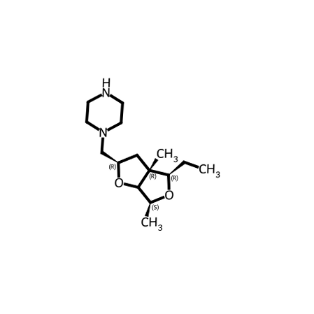 CC[C@H]1O[C@@H](C)C2O[C@@H](CN3CCNCC3)C[C@@]21C